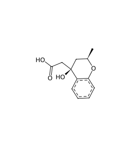 C[C@@H]1C[C@@](O)(CC(=O)O)c2ccccc2O1